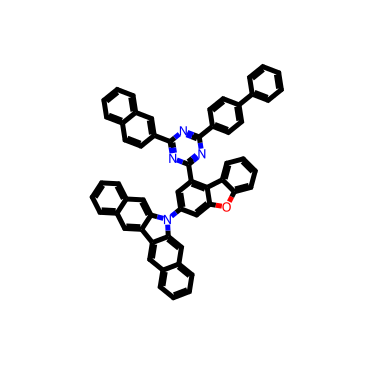 c1ccc(-c2ccc(-c3nc(-c4ccc5ccccc5c4)nc(-c4cc(-n5c6cc7ccccc7cc6c6cc7ccccc7cc65)cc5oc6ccccc6c45)n3)cc2)cc1